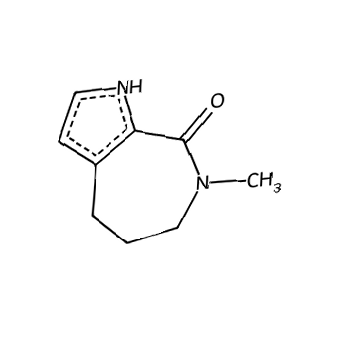 CN1CCCc2cc[nH]c2C1=O